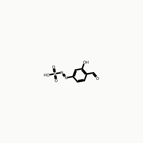 O=Cc1ccc(N=NS(=O)(=O)O)cc1O